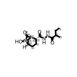 CCC(C)C(=O)NNC(=O)[C@@H]1CC[C@@H]2CN1C(=O)N2O